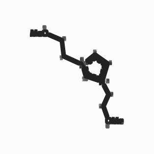 COCCn1cc[n+](CCOC)c1